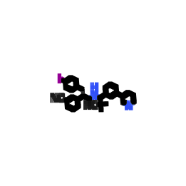 C[C@H](NC(c1cccc(-c2cccnc2)c1)C(C)(C)C#N)[C@@H](Cc1ccc(I)cc1)c1cccc(C#N)c1